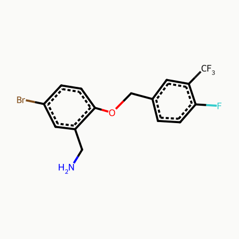 NCc1cc(Br)ccc1OCc1ccc(F)c(C(F)(F)F)c1